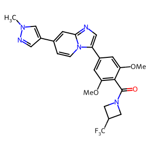 COc1cc(-c2cnc3cc(-c4cnn(C)c4)ccn23)cc(OC)c1C(=O)N1CC(C(F)(F)F)C1